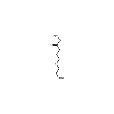 CCCOC(=O)CCCOCCOCC(C)C